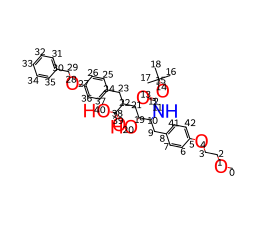 COCCOc1ccc(CC(NC(=O)OC(C)(C)C)C(O)CC(Cc2ccc(OCc3ccccc3)cc2)C(=O)O)cc1